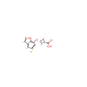 O=C(O)[C@H]1C[C@H](Oc2cc(F)cc3ccoc23)C1